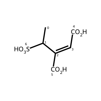 CC(C(=CC(=O)O)C(=O)O)S(=O)(=O)O